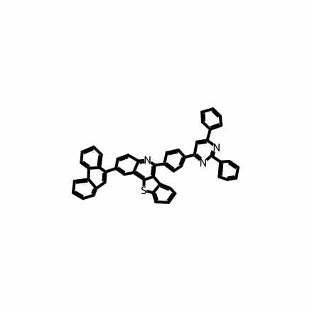 c1ccc(-c2cc(-c3ccc(-c4nc5ccc(-c6cc7ccccc7c7ccccc67)cc5c5sc6ccccc6c45)cc3)nc(-c3ccccc3)n2)cc1